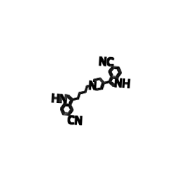 N#Cc1ccc2[nH]cc(CCCCN3CC=C(c4c[nH]c5ccc(C#N)cc45)CC3)c2c1